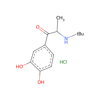 CC(NC(C)(C)C)C(=O)c1ccc(O)c(O)c1.Cl